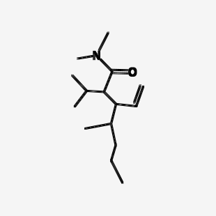 C=CC(C(C)CCC)C(C(=O)N(C)C)C(C)C